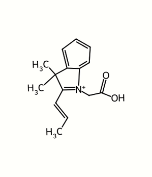 CC=CC1=[N+](CC(=O)O)c2ccccc2C1(C)C